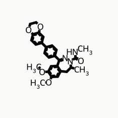 CNC(=O)N1N=C(c2ccc(-c3ccc4c(c3)OCCO4)cc2)c2cc(OC)c(OC)cc2CC1C